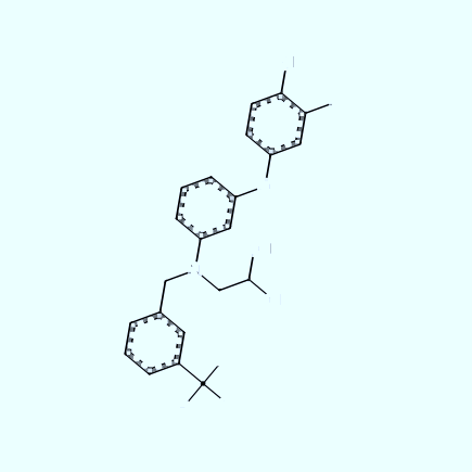 CCc1cc(Oc2cccc(N(Cc3cccc(C(F)(F)C(F)(F)F)c3)CC(O)C(F)(F)F)c2)ccc1Cl